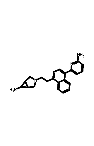 Nc1cccc(-c2ccc(CCN3CC4C(N)C4C3)c3ccccc23)n1